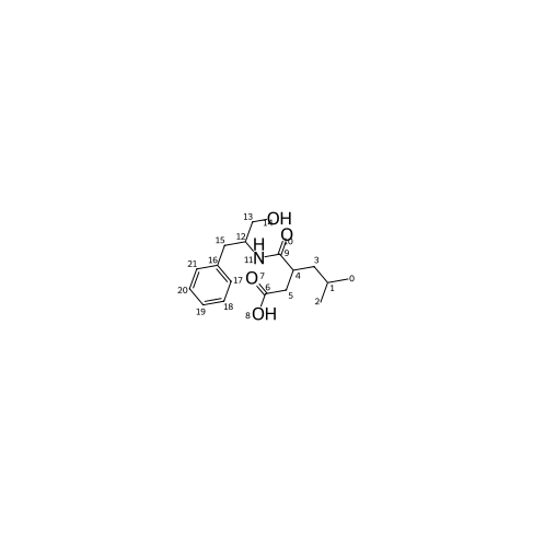 CC(C)CC(CC(=O)O)C(=O)NC(CO)Cc1ccccc1